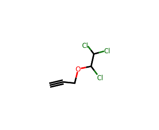 C#CCOC(Cl)C(Cl)Cl